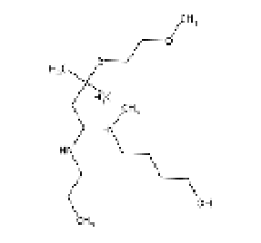 CCCNC(CC(C)(C)SCCOC)N(C)CCCCO